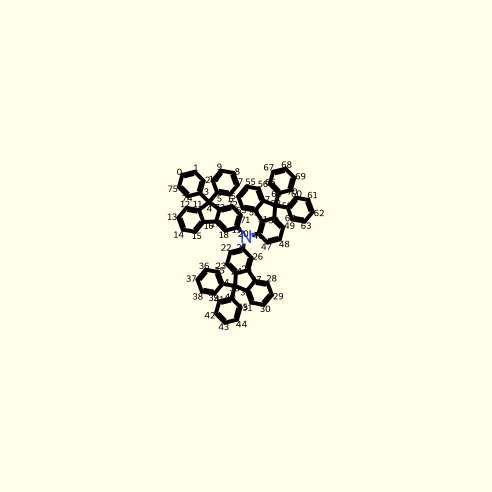 c1ccc(C2(c3ccccc3)c3ccccc3-c3cc(N(c4ccc5c(c4)-c4ccccc4C5(c4ccccc4)c4ccccc4)c4cccc5c4-c4ccccc4C5(c4ccccc4)c4ccccc4)ccc32)cc1